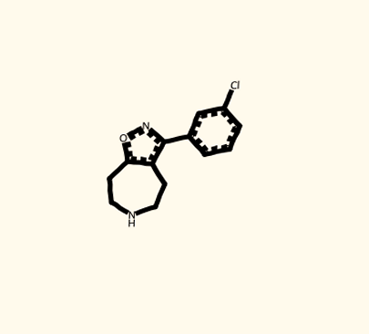 Clc1cccc(-c2noc3c2CCNCC3)c1